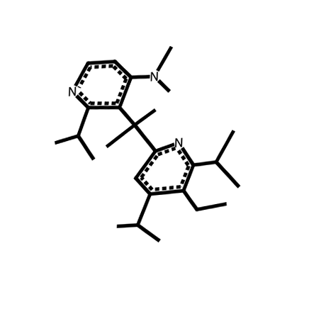 CCc1c(C(C)C)cc(C(C)(C)c2c(N(C)C)ccnc2C(C)C)nc1C(C)C